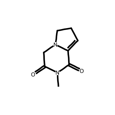 CN1C(=O)CN2CCC=C2C1=O